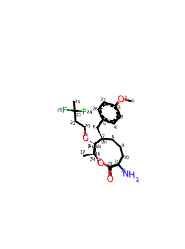 COc1ccc(C[C@H]2CCCC(N)C(=O)O[C@@H](C)[C@@H]2OCCC(C)(F)F)cc1